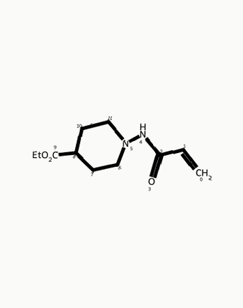 C=CC(=O)NN1CCC(C(=O)OCC)CC1